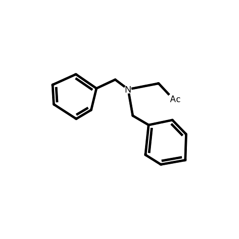 CC(=O)CN(Cc1ccccc1)Cc1ccccc1